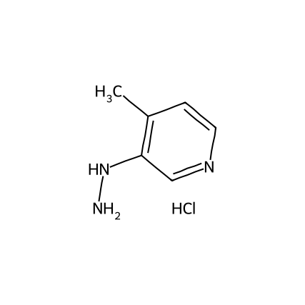 Cc1ccncc1NN.Cl